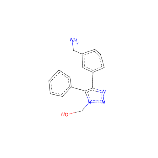 NCc1cccc(-c2nnn(CO)c2-c2ccccc2)c1